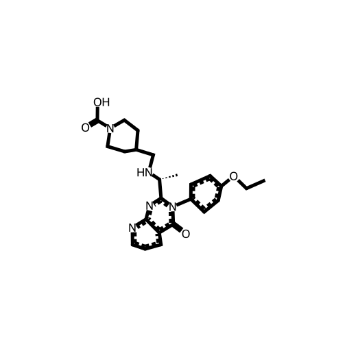 CCOc1ccc(-n2c([C@@H](C)NCC3CCN(C(=O)O)CC3)nc3ncccc3c2=O)cc1